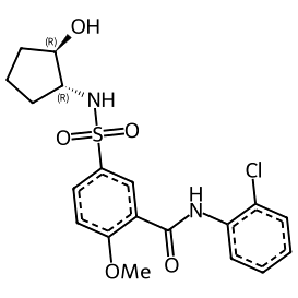 COc1ccc(S(=O)(=O)N[C@@H]2CCC[C@H]2O)cc1C(=O)Nc1ccccc1Cl